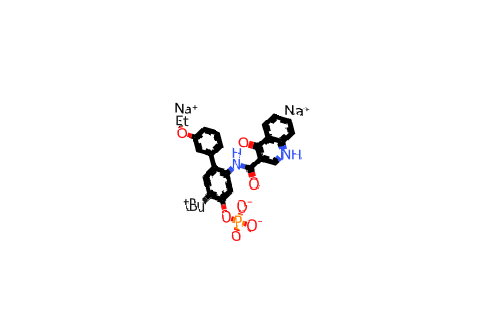 CCOc1cccc(-c2cc(C(C)(C)C)c(OP(=O)([O-])[O-])cc2NC(=O)c2c[nH]c3ccccc3c2=O)c1.[Na+].[Na+]